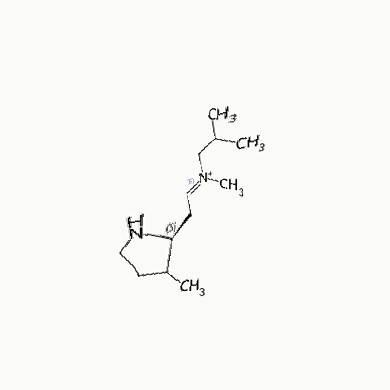 CC(C)C/[N+](C)=C/C[C@@H]1NCCC1C